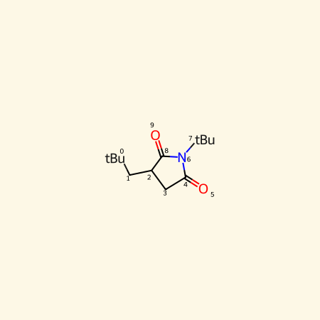 CC(C)(C)CC1CC(=O)N(C(C)(C)C)C1=O